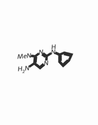 CNc1nc(Nc2ccccc2)ncc1N